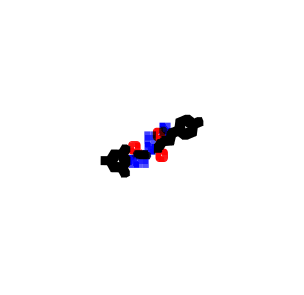 Cc1ccc(-c2cc(C(=O)NCC(=O)Nc3c(C)cc(C)cc3C)on2)cc1